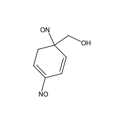 O=NC1=CCC(CO)(N=O)C=C1